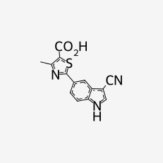 Cc1nc(-c2ccc3[nH]cc(C#N)c3c2)sc1C(=O)O